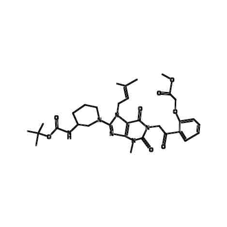 COC(=O)COc1ccccc1C(=O)Cn1c(=O)c2c(nc(N3CCCC(NC(=O)OC(C)(C)C)C3)n2CC=C(C)C)n(C)c1=O